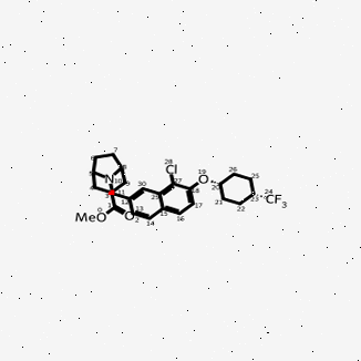 COC(=O)C1CC2CCC(C1)N2Cc1ccc2ccc(O[C@H]3CC[C@@H](C(F)(F)F)CC3)c(Cl)c2c1